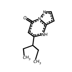 CCC(CC)c1cc(=O)n2nccc2[nH]1